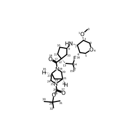 CO[C@@H]1COCC[C@@H]1N[C@@H]1CC[C@](CC(F)F)(C(=O)N2C[C@@H]3C[C@H]2CN3C(=O)OC(C)(C)C)C1